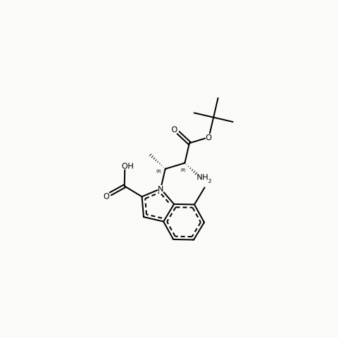 Cc1cccc2cc(C(=O)O)n([C@H](C)[C@@H](N)C(=O)OC(C)(C)C)c12